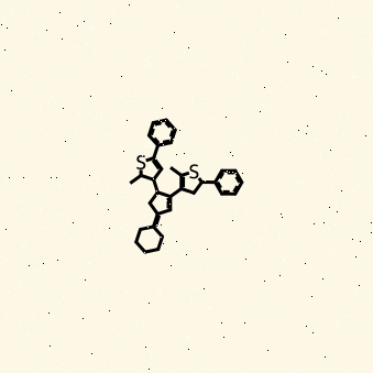 CC1=C(C2=CC(=C3CCCCC3)CC2C2C=C(c3ccccc3)SC2C)CC(c2ccccc2)S1